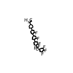 C/C=C/C1CCC(c2ccc(-c3ccc(-c4ccc(C(F)(F)Oc5cc(F)c(F)c(F)c5)c(F)c4)c(F)c3)c(F)c2)CC1